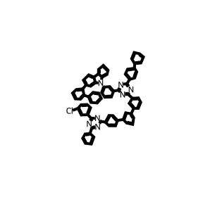 Clc1cccc(-c2nc(-c3ccccc3)nc(-c3ccc(-c4cccc(-c5cccc(-c6nc(-c7ccc(-c8ccccc8)cc7)nc(-c7cccc(-n8c9ccccc9c9ccc(-c%10ccccc%10-c%10ccccc%10)cc98)c7)n6)c5)c4)cc3)n2)c1